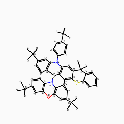 CC(C)(C)c1ccc(N2c3cc(C(C)(C)C)ccc3B3c4c2cc2c(c4-c4cc(C(C)(C)C)cc5c4N3c3ccc(C(C)(C)C)cc3O5)Sc3ccccc3C2(C)C)cc1